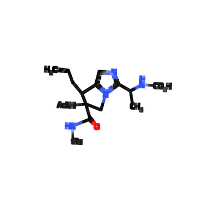 C=CCC1c2cnc(C(C)NC(=O)O)n2CC1(NC(C)=O)C(=O)NC(C)(C)C